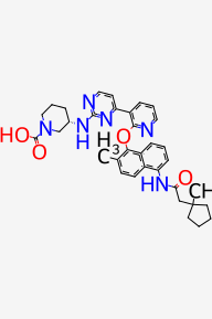 Cc1ccc2c(NC(=O)CC3(C)CCCC3)cccc2c1Oc1ncccc1-c1ccnc(N[C@H]2CCCN(C(=O)O)C2)n1